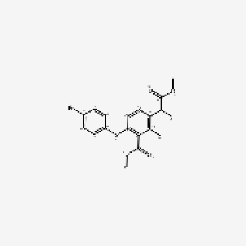 COC(=O)c1c(Sc2ccc(Br)cc2)ccc(C(C)C(=O)OC)c1C